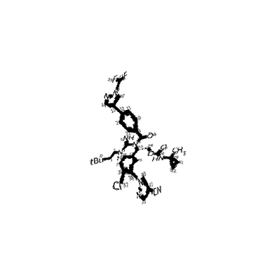 CC(C)(C)CCNC(=N)N(C(=O)c1ccc(-c2cnn(C(F)F)c2)cc1)[C@H](COC(=O)NC1(C)CC1)c1ccc(Cl)c(-n2cc(C#N)cn2)c1